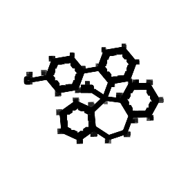 OC1(c2ccccc2-c2ccc(Cl)cc2)c2ccccc2CCc2ccccc21